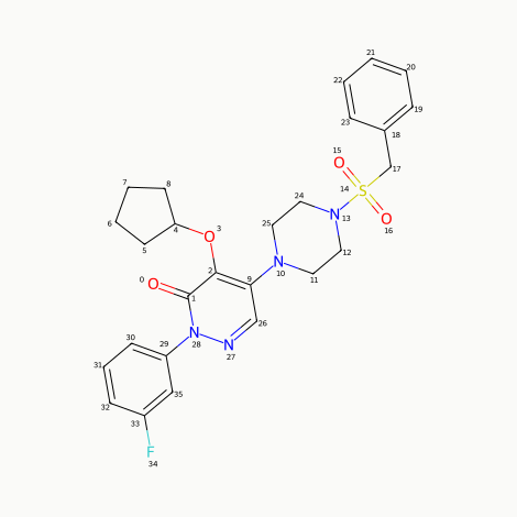 O=c1c(OC2CCCC2)c(N2CCN(S(=O)(=O)Cc3ccccc3)CC2)cnn1-c1cccc(F)c1